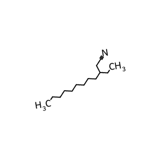 CCCCCCCCCC(CC)CC#N